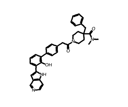 CN(C)C(=O)C1(Cc2ccccc2)CCN(C(=O)Cc2ccc(-c3cccc(-c4cc5cnccc5[nH]4)c3O)cc2)CC1